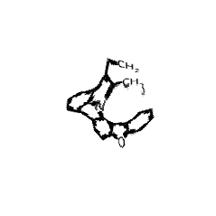 C=Cc1c(C)n2c3c1cccc3c1ccc3oc4ccccc4c3c12